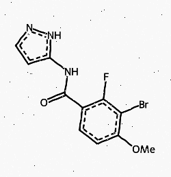 COc1ccc(C(=O)Nc2ccn[nH]2)c(F)c1Br